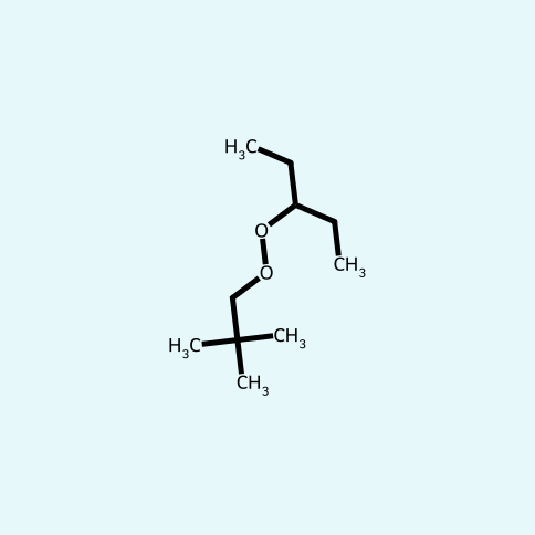 CCC(CC)OOCC(C)(C)C